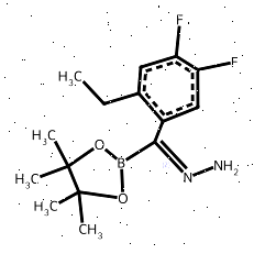 CCc1cc(F)c(F)cc1/C(=N\N)B1OC(C)(C)C(C)(C)O1